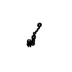 Cn1ccnc1C(=O)COc1ccc(SCCCCCc2ccccc2)cc1